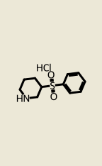 Cl.O=S(=O)(c1ccccc1)C1CCCNC1